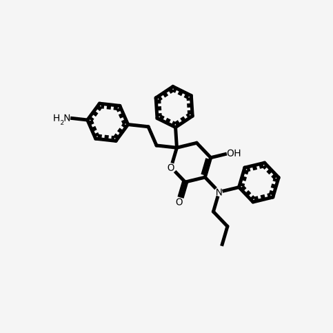 CCCN(C1=C(O)CC(CCc2ccc(N)cc2)(c2ccccc2)OC1=O)c1ccccc1